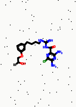 CCC(O)COc1cccc(CCCCNC(=N)NC(=O)c2nc(Cl)c(N)nc2N)c1